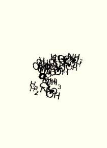 CC(C)CC(N)C(=O)O.CC(C)CC(N)C(=O)O.NC(CO)C(=O)O.NC(Cc1ccc(O)cc1)C(=O)O.NCC(=O)O.O=C(O)[C@@H]1CCCN1